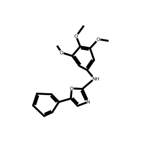 COc1cc(Nc2ncc(-c3ccccc3)o2)cc(OC)c1OC